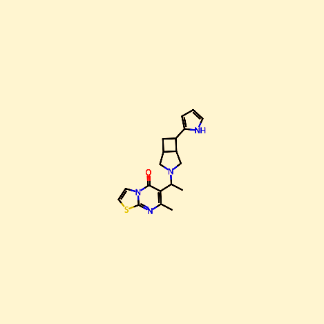 Cc1nc2sccn2c(=O)c1C(C)N1CC2CC(c3ccc[nH]3)C2C1